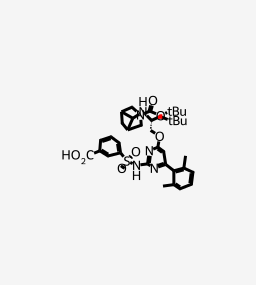 Cc1cccc(C)c1-c1cc(OC[C@@H](CC(C)(C)C)NC2C3CC2CN(C(=O)OC(C)(C)C)C3)nc(NS(=O)(=O)c2cccc(C(=O)O)c2)n1